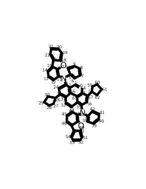 C=Cc1c(N(c2ccccc2)c2cccc3c2oc2ccccc23)cc(C2CCCC2)c2ccc3c(N(c4ccccc4)c4cccc5c4oc4ccccc45)cc(C4CCCC4)c(C)c3c12